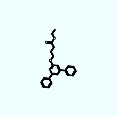 CCOC(=O)CCCOc1cc(-c2ccccc2)cc(-c2ccccc2)n1